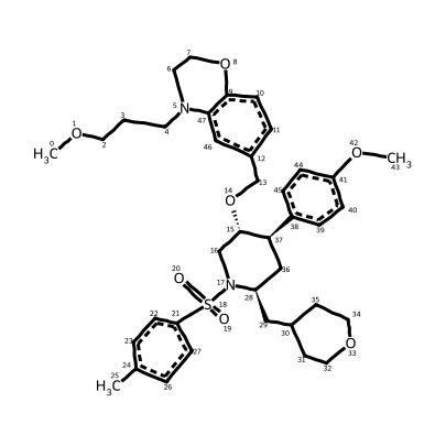 COCCCN1CCOc2ccc(CO[C@H]3CN(S(=O)(=O)c4ccc(C)cc4)[C@H](CC4CCOCC4)C[C@@H]3c3ccc(OC)cc3)cc21